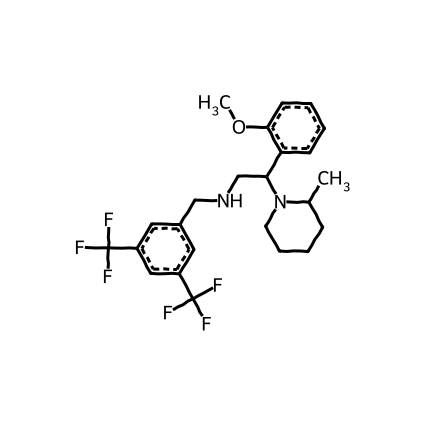 COc1ccccc1C(CNCc1cc(C(F)(F)F)cc(C(F)(F)F)c1)N1CCCCC1C